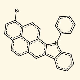 Brc1ccc2ccc3cc4c5ccccc5n(-c5ccccc5)c4c4ccc1c2c34